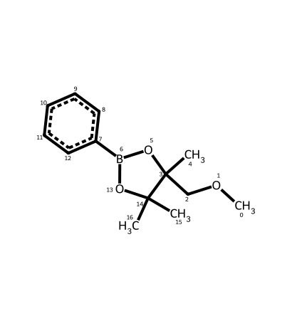 COCC1(C)OB(c2ccccc2)OC1(C)C